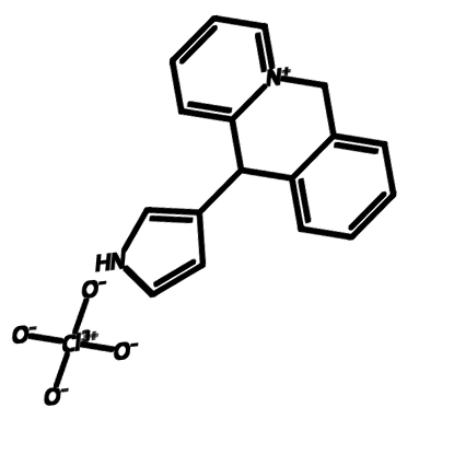 [O-][Cl+3]([O-])([O-])[O-].c1ccc2c(c1)C[n+]1ccccc1C2c1cc[nH]c1